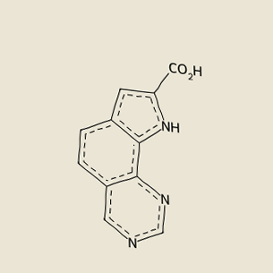 O=C(O)c1cc2ccc3cncnc3c2[nH]1